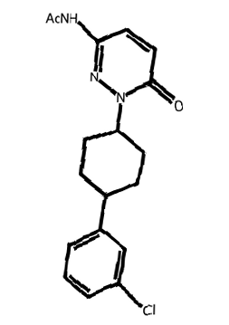 CC(=O)Nc1ccc(=O)n(C2CC[C](c3cccc(Cl)c3)CC2)n1